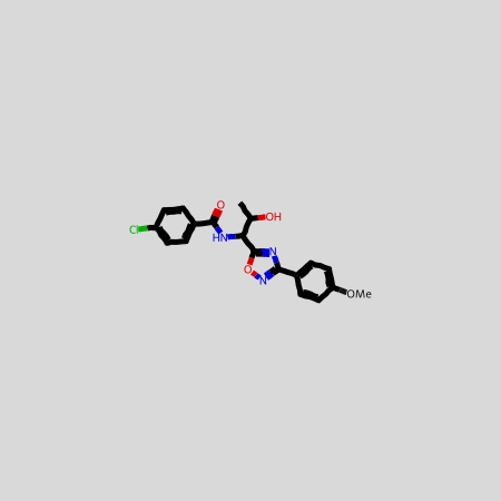 COc1ccc(-c2noc(C(NC(=O)c3ccc(Cl)cc3)C(C)O)n2)cc1